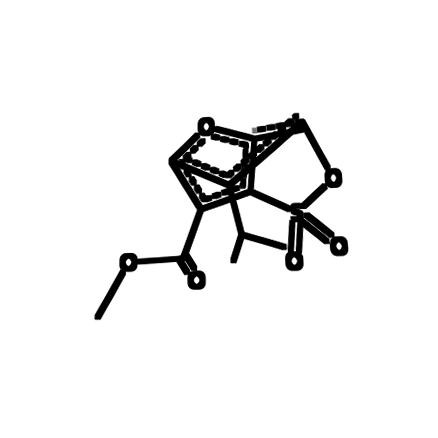 COC(=O)c1c2c3oc1c(C(C)C)c3OS2(=O)=O